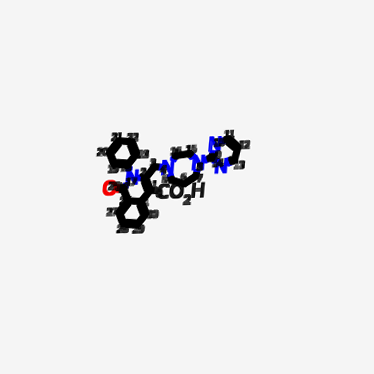 O=C(O)c1c(CN2CCCN(c3ncccn3)CC2)n(-c2ccccc2)c(=O)c2ccccc12